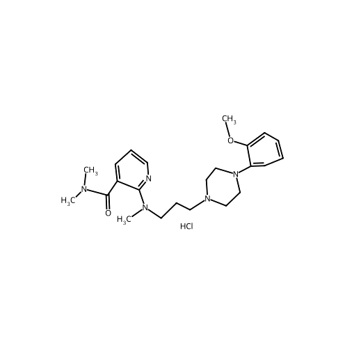 COc1ccccc1N1CCN(CCCN(C)c2ncccc2C(=O)N(C)C)CC1.Cl